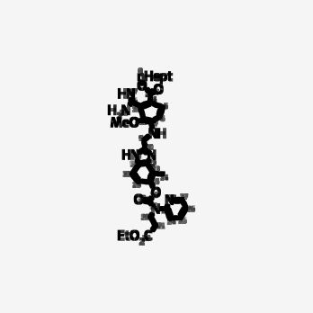 CCCCCCCOC(=O)c1ccc(NCc2nc3c(C)c(OC(=O)N(CCC(=O)OCC)c4ccccn4)ccc3[nH]2)c(OC)c1C(=N)N